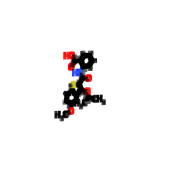 COc1ccc2sc(C(=O)Nc3ccccc3C(=O)O)c(OC(C)C)c2c1